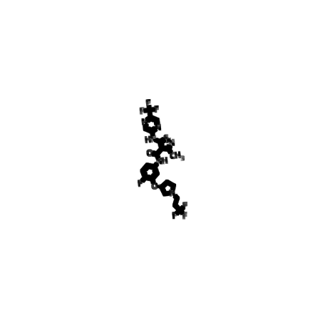 Cc1nsc(Nc2cnc(C(F)(F)F)cn2)c1C(=O)Nc1ccc(F)c(O[C@H]2CCN(CCC(F)(F)F)C2)c1